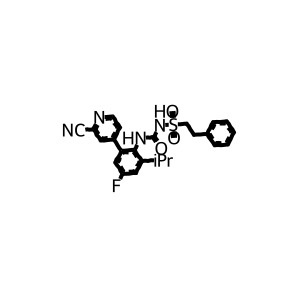 CC(C)c1cc(F)cc(-c2ccnc(C#N)c2)c1NC(=O)NS(=O)(=O)CCc1ccccc1